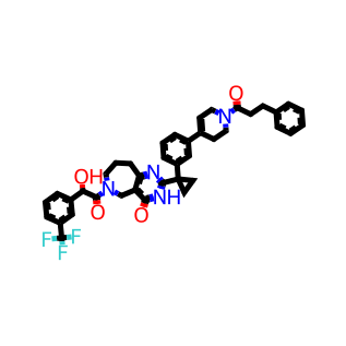 O=C(CCc1ccccc1)N1CC=C(c2cccc(C3(c4nc5c(c(=O)[nH]4)CN(C(=O)C(O)c4cccc(C(F)(F)F)c4)CCC5)CC3)c2)CC1